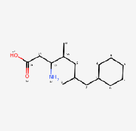 CC(CC1CCCCC1)CC(C)C(N)CC(=O)O